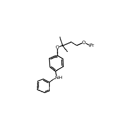 CC(C)OCCC(C)(C)Oc1ccc(Nc2ccccc2)cc1